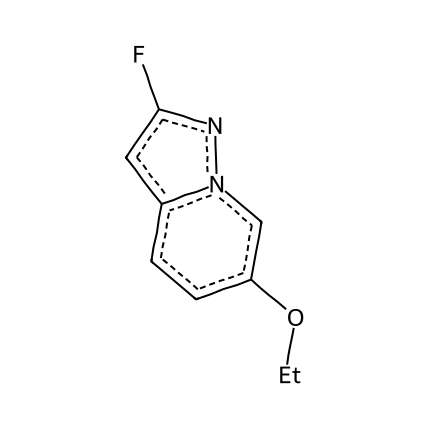 CCOc1ccc2cc(F)nn2c1